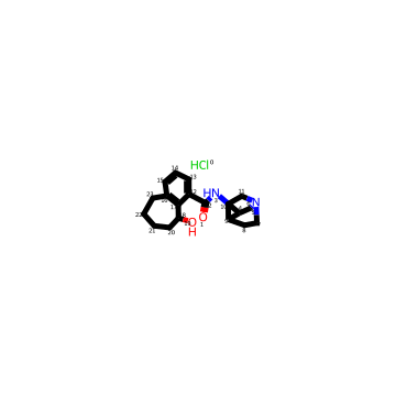 Cl.O=C(NC1CN2CCC1CC2)c1cccc2c1C(O)CCCC2